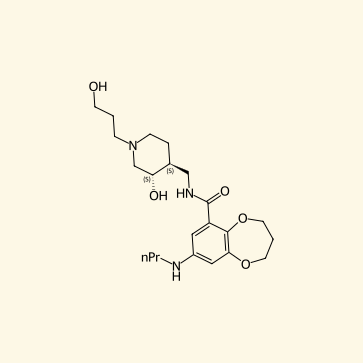 CCCNc1cc2c(c(C(=O)NC[C@@H]3CCN(CCCO)C[C@H]3O)c1)OCCCO2